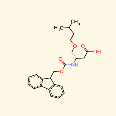 CC(C)CCOC[C@H](CC(=O)O)NC(=O)OCC1c2ccccc2-c2ccccc21